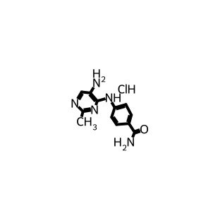 Cc1ncc(N)c(Nc2ccc(C(N)=O)cc2)n1.Cl